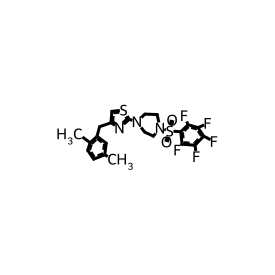 Cc1ccc(C)c(Cc2csc(N3CCN(S(=O)(=O)c4c(F)c(F)c(F)c(F)c4F)CC3)n2)c1